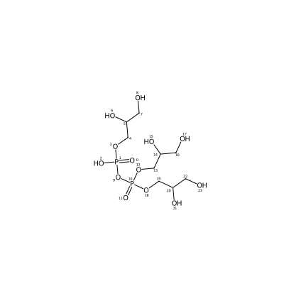 O=P(O)(OCC(O)CO)OP(=O)(OCC(O)CO)OCC(O)CO